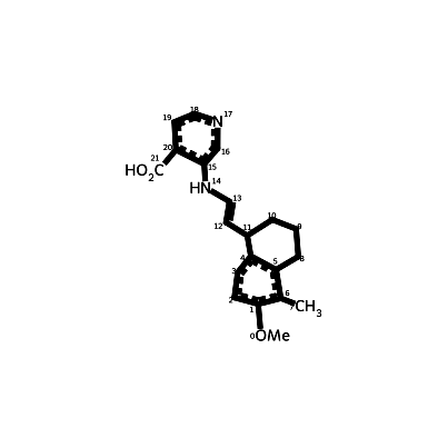 COc1ccc2c(c1C)CCCC2/C=C/Nc1cnccc1C(=O)O